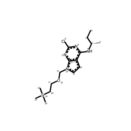 CC[C@H](C)Nc1nc(Cl)nc2c1ccn2COCC[Si](C)(C)C